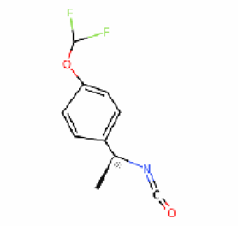 C[C@H](N=C=O)c1ccc(OC(F)F)cc1